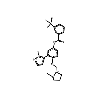 CN1CCC[C@H]1COc1ccc(NC(=O)c2cccc(C(F)(F)F)c2)cc1-c1ccnn1C